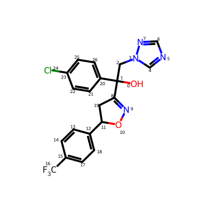 OC(Cn1cncn1)(C1=NOC(c2ccc(C(F)(F)F)cc2)C1)c1ccc(Cl)cc1